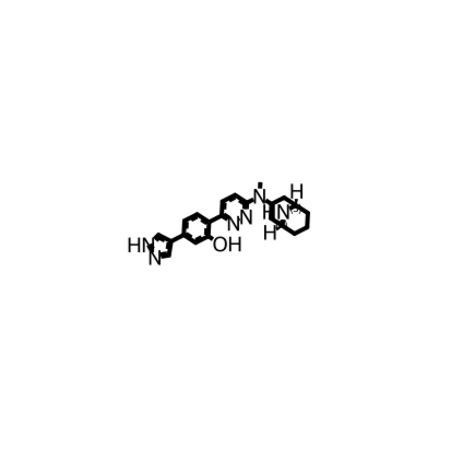 CN(c1ccc(-c2ccc(-c3cn[nH]c3)cc2O)nn1)C1C[C@H]2CCC[C@@H](C1)N2